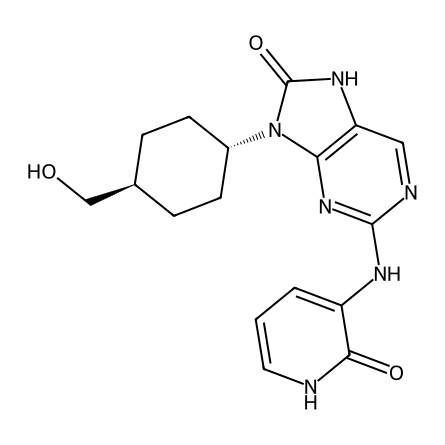 O=c1[nH]cccc1Nc1ncc2[nH]c(=O)n([C@H]3CC[C@H](CO)CC3)c2n1